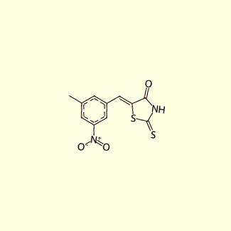 Cc1cc(/C=C2\SC(=S)NC2=O)cc([N+](=O)[O-])c1